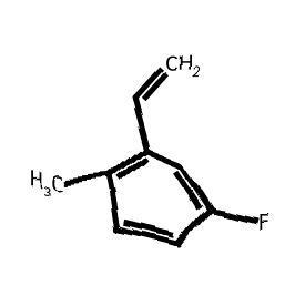 C=Cc1cc(F)ccc1C